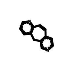 C1=Cc2ncccc2Cc2cnccc21